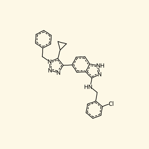 Clc1ccccc1CNc1n[nH]c2ccc(-c3nnn(Cc4ccccc4)c3C3CC3)cc12